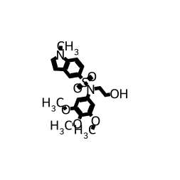 COc1cc(N(CCO)S(=O)(=O)c2ccc3c(ccn3C)c2)cc(OC)c1OC